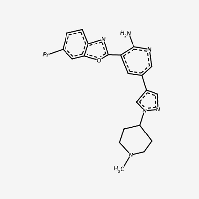 CC(C)c1ccc2nc(-c3cc(-c4cnn(C5CCN(C)CC5)c4)cnc3N)oc2c1